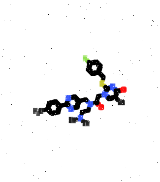 CCc1cn(CC(=O)N(CCN(CC)CC)Cc2cnc(-c3ccc(C(F)(F)F)cc3)nc2)c(SCc2ccc(F)cc2)nc1=O